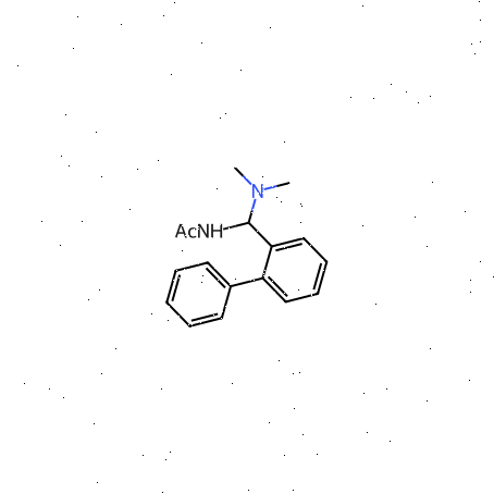 CC(=O)NC(c1ccccc1-c1ccccc1)N(C)C